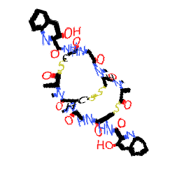 C=C1C(=O)SC[C@@H](NC(=O)c2nc3ccccc3cc2O)C(=O)NCC(=O)N(C)[C@H]2CSSC[C@@H](C(=O)N1C)N(C)C(=O)CNC(=O)[C@H](NC(=O)c1nc3ccccc3cc1O)CSC(=O)C(=C)N(C)C2=O